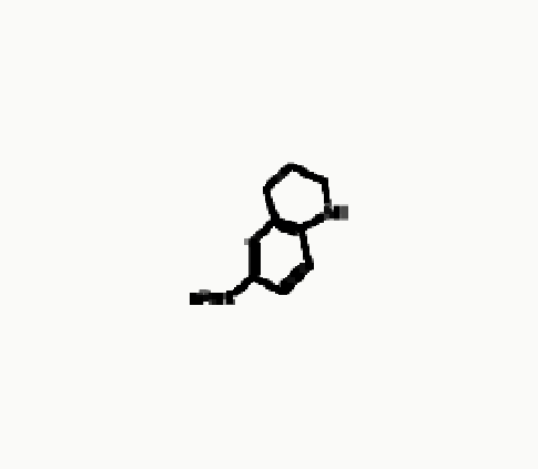 CCCCCc1[c]c2c(cc1)NCCC2